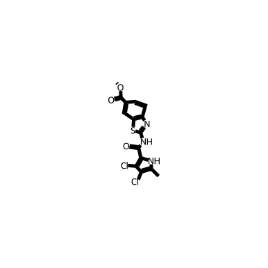 COC(=O)c1ccc2nc(NC(=O)c3[nH]c(C)c(Cl)c3Cl)sc2c1